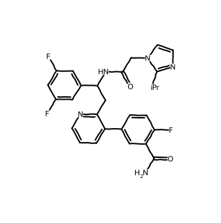 CC(C)c1nccn1CC(=O)NC(Cc1ncccc1-c1ccc(F)c(C(N)=O)c1)c1cc(F)cc(F)c1